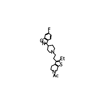 CCc1sc2c(c1CCN1CCC(c3noc4cc(F)ccc34)CC1)CCN(C(C)=O)C2